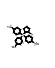 CCCCc1ccc([Si](C2=C(CC)C=CC2)(c2ccc(CCCC)cc2)c2ccc(CCCC)cc2)cc1